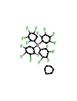 Fc1cc([B-](c2cc(F)c(F)c(F)c2F)(c2cc(F)c(F)c(F)c2F)c2cc(F)c(F)c(F)c2F)c(F)c(F)c1F.c1ccccc1